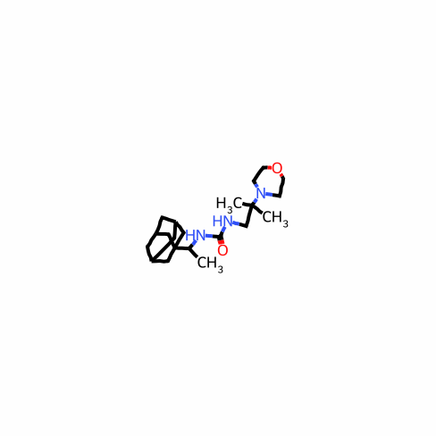 CC(NC(=O)NCC(C)(C)N1CCOCC1)C12CC3CC(CC(C3)C1)C2